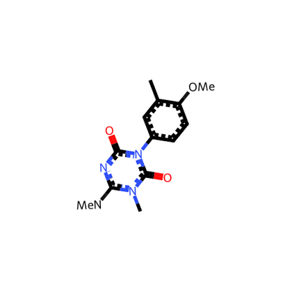 CNc1nc(=O)n(-c2ccc(OC)c(C)c2)c(=O)n1C